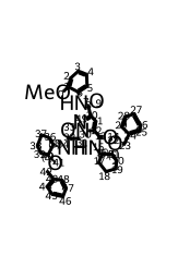 COc1ccccc1NC(=O)c1cc(C(=O)N[C@H]2CCCC[C@@H]2OCc2ccccc2)n(CC(=O)N[C@H]2CCCC[C@@H]2OCc2ccccc2)n1